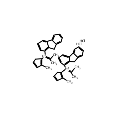 CC1=[C]([Hf](=[C](C)C)[c]2cccc3c2Cc2ccccc2-3)CC=C1.CC1=[C]([Hf](=[C](C)C)[c]2cccc3c2Cc2ccccc2-3)CC=C1.Cl.Cl